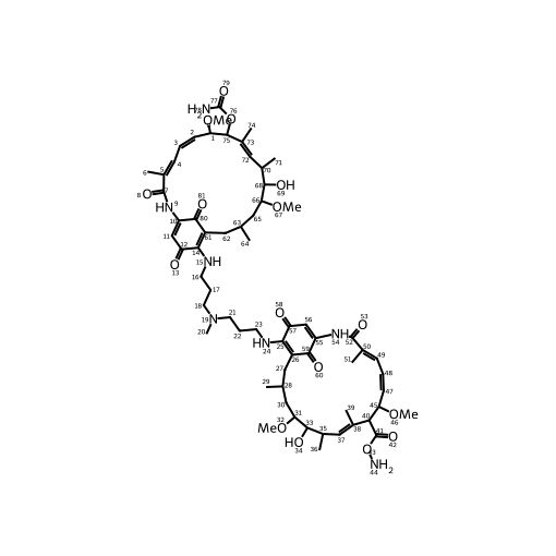 COC1/C=C\C=C(/C)C(=O)NC2=CC(=O)C(NCCCN(C)CCCNC3=C4CC(C)CC(OC)C(O)C(C)/C=C(\C)C(C(=O)ON)C(OC)/C=C\C=C(/C)C(=O)NC(=CC3=O)C4=O)=C(CC(C)CC(OC)C(O)C(C)/C=C(\C)C1OC(N)=O)C2=O